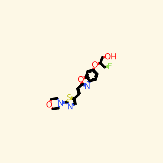 OCC(CF)Oc1ccc2nc(/C=C/c3cnc(N4CCOCC4)s3)oc2c1